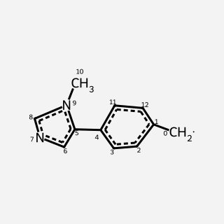 [CH2]c1ccc(-c2cncn2C)cc1